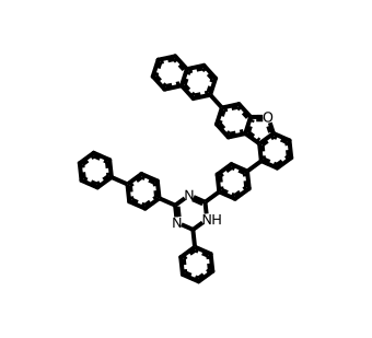 c1ccc(-c2ccc(C3=NC(c4ccccc4)NC(c4ccc(-c5cccc6oc7cc(-c8ccc9ccccc9c8)ccc7c56)cc4)=N3)cc2)cc1